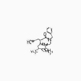 C#CCC(NCC(C)C)C(=O)N(CCC)Cc1ccccc1